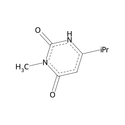 CC(C)c1cc(=O)n(C)c(=O)[nH]1